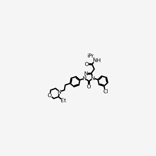 CCC1COCCN1CCc1ccc(-n2nc(CC(=O)NC(C)C)n(-c3cccc(Cl)c3)c2=O)cc1